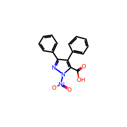 O=C(O)c1c(-c2ccccc2)c(-c2ccccc2)nn1[N+](=O)[O-]